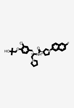 CC(C)(O)COc1ccc(C[C@@H](CN2CCCC2)NC(=O)[C@@H]2CCN(c3ccc4cc(F)ccc4c3)C2)cc1Cl